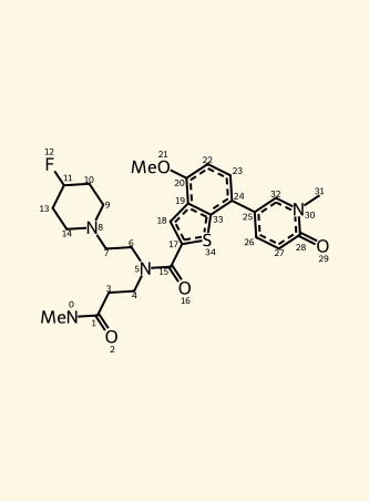 CNC(=O)CCN(CCN1CCC(F)CC1)C(=O)c1cc2c(OC)ccc(-c3ccc(=O)n(C)c3)c2s1